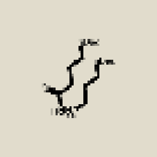 CCCCCCCCCCCCCC(=O)O.CCCCCCCCCCCCCC(N)=O